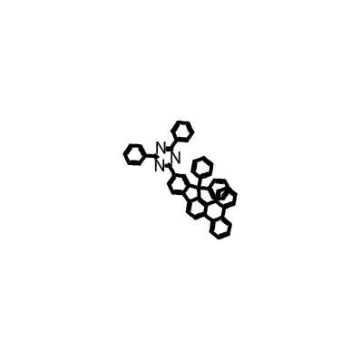 c1ccc(-c2nc(-c3ccccc3)nc(-c3ccc4c(c3)C(c3ccccc3)(c3ccccc3)c3c-4ccc4c5ccccc5c5ccccc5c34)n2)cc1